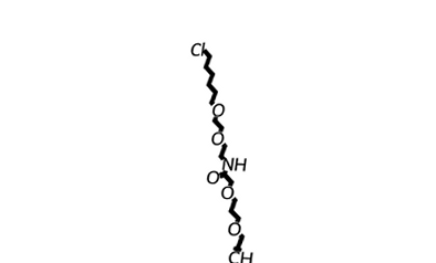 C#CCOCCCOCC(=O)NCCOCCOCCCCCCCl